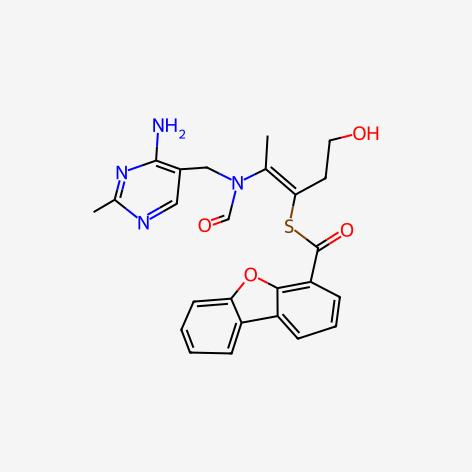 C/C(=C(\CCO)SC(=O)c1cccc2c1oc1ccccc12)N(C=O)Cc1cnc(C)nc1N